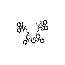 O=C(/C=C\C(=O)OC1(c2ccccc2)CCN(CCCN2C(=O)NC(c3ccccc3)(c3ccccn3)C2=O)CC1)OC1(c2ccccc2)CCN(CCCN2C(=O)NC(c3ccccc3)(c3ccccn3)C2=O)CC1